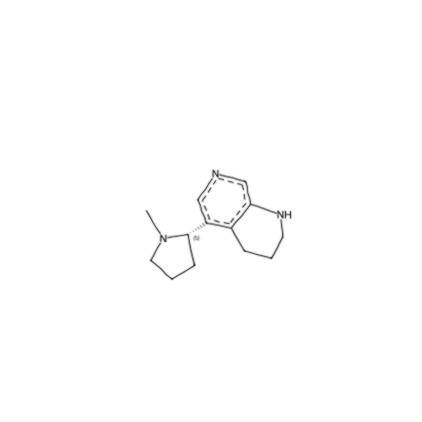 CN1CCC[C@H]1c1cncc2c1CCCN2